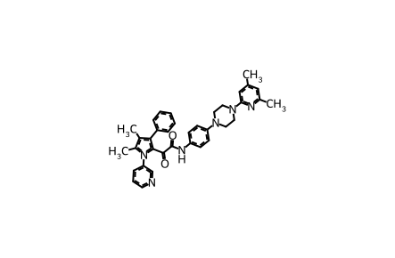 Cc1cc(C)nc(N2CCN(c3ccc(NC(=O)C(=O)c4c(-c5ccccc5)c(C)c(C)n4-c4cccnc4)cc3)CC2)c1